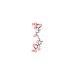 CC(CC(C)(C)c1cocc(O)c1=O)C(=O)CCCC(=O)C(C)CC(C)(C)c1cocc(O)c1=O